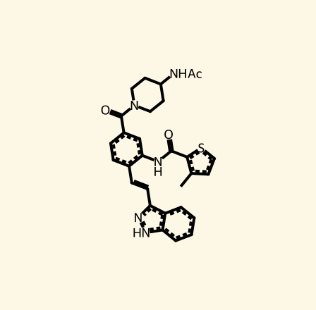 CC(=O)NC1CCN(C(=O)c2ccc(C=Cc3n[nH]c4ccccc34)c(NC(=O)c3sccc3C)c2)CC1